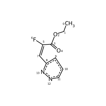 CCOC(=O)/C(F)=C\c1cccnn1